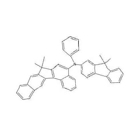 CC1(C)c2ccccc2-c2ccc(N(c3ccccc3)c3cc4c(c5ccccc35)-c3cc5ccccc5cc3C4(C)C)cc21